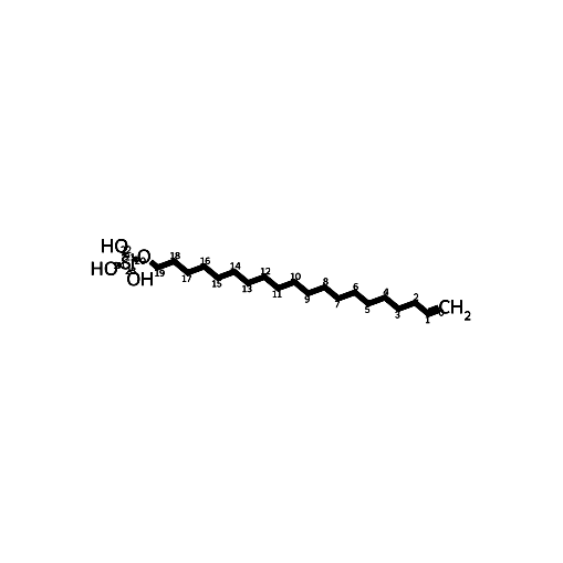 C=CCCCCCCCCCCCCCCCCCCO[Si](O)(O)O